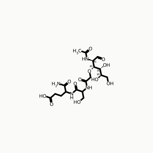 CC(=O)N[C@@H](C=O)[C@@H](OCC(=O)NC(CO)C(=O)NC(CCC(=O)O)C(N)=O)[C@H](O)[C@H](O)CO